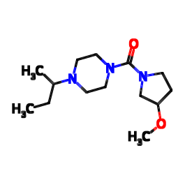 CCC(C)N1CCN(C(=O)N2CCC(OC)C2)CC1